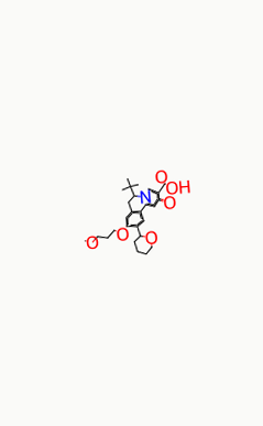 COCCCOc1cc2c(cc1C1CCCCO1)-c1cc(=O)c(C(=O)O)cn1C(C(C)(C)C)C2